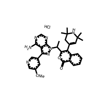 COc1cncc(-c2nn(C(C)c3oc(=O)c4ccccc4c3C3=CC(C)(C)NC(C)(C)C3)c3ncnc(N)c23)c1.Cl